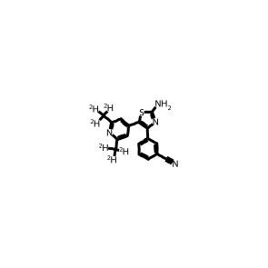 [2H]C([2H])([2H])c1cc(-c2sc(N)nc2-c2cccc(C#N)c2)cc(C([2H])([2H])[2H])n1